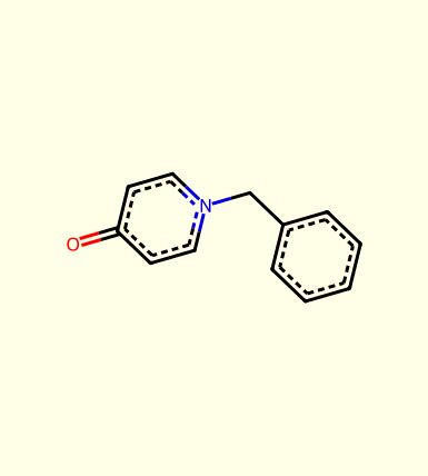 O=c1ccn(Cc2ccccc2)cc1